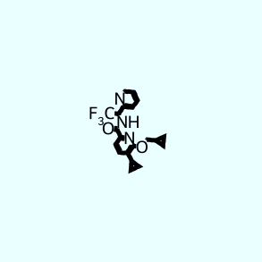 O=C(NC(c1ccccn1)C(F)(F)F)c1ccc(C2CC2)c(OCC2CC2)n1